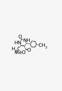 COC(=O)C1=C(C)NC(=O)NC1c1ccc(C)cc1